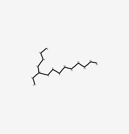 [CH2]CC(CCCC)CCCCCCCCC